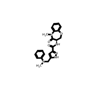 CN(Cc1cc(C(=O)N[C@@H]2COc3ccccc3N(C)C2=O)n[nH]1)c1ccccc1